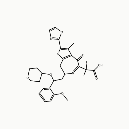 COc1ccccc1C(CC1Cc2sc(-c3ncco3)c(C)c2C(=O)C(C(F)(F)C(=O)O)=N1)OC1CCOCC1